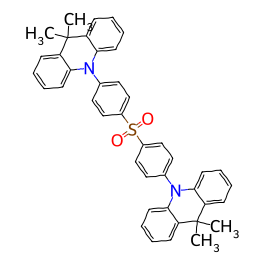 CC1(C)c2ccccc2N(c2ccc(S(=O)(=O)c3ccc(N4c5ccccc5C(C)(C)c5ccccc54)cc3)cc2)c2ccccc21